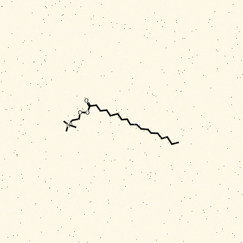 CCCCCCCCCCCCCCCCCC(=O)OOCC[N+](C)(C)C